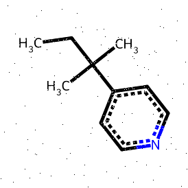 CCC(C)(C)c1ccncc1